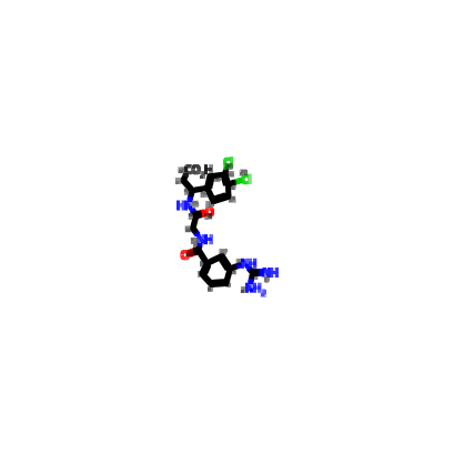 N=C(N)Nc1cccc(C(=O)NCC(=O)NC(CC(=O)O)c2ccc(Cl)c(Cl)c2)c1